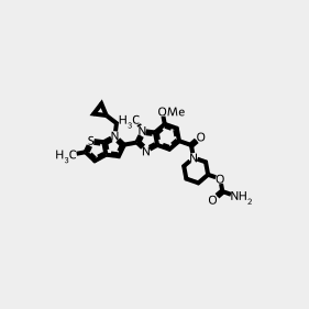 COc1cc(C(=O)N2CCCC(OC(N)=O)C2)cc2nc(-c3cc4cc(C)sc4n3CC3CC3)n(C)c12